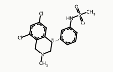 CN1Cc2c(Cl)cc(Cl)cc2[C@H](c2cccc(NS(C)(=O)=O)c2)C1